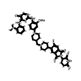 COc1cc(N2CCC(CN3CCC(c4cc5c(cc4F)C(=O)N(C4CCC(=O)NC4=O)C5=O)CC3)CC2)ccc1Nc1ncc(Cl)c(Nc2ccccc2P(C)C)n1